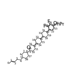 C/C=C/CCC1CCC(C2CCC(C3CCC(C4CCC(c5ccc(OCCC)c(F)c5F)CC4)CC3)CO2)CC1